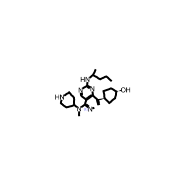 C=C(c1nc(NC(C)CCC)ncc1/C(=N\C)N(C)C1CCNCC1)[C@H]1CC[C@H](O)CC1